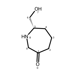 O=C1CCC[C@@H](CO)NC1